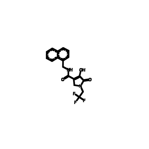 O=C(NCc1cccc2ccccc12)C1=C(O)C(=O)N(CC(F)(F)F)C1